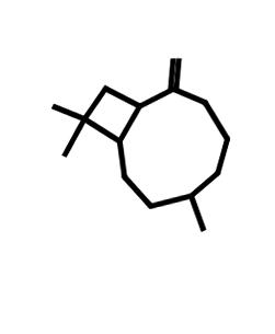 C=C1CCCC(C)CCC2C1CC2(C)C